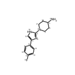 NC1CCN(c2nc(-c3ccc(F)cc3)c[nH]2)CC1